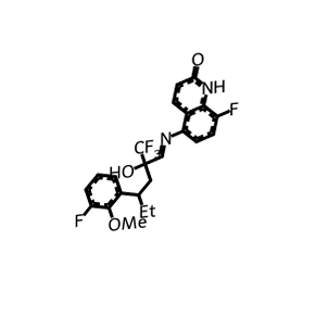 CCC(CC(O)(C=Nc1ccc(F)c2[nH]c(=O)ccc12)C(F)(F)F)c1cccc(F)c1OC